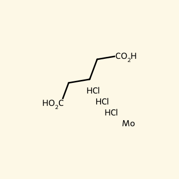 Cl.Cl.Cl.O=C(O)CCCC(=O)O.[Mo]